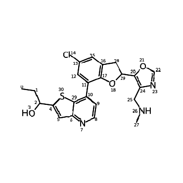 CCC(O)c1cc2nccc(-c3cc(Cl)cc4c3OC(c3ocnc3CNC)C4)c2s1